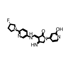 N=C1CN(c2ccnc(O)c2)C(=O)/C1=C/Nc1ccc(N2CC[C@H](F)C2)nc1